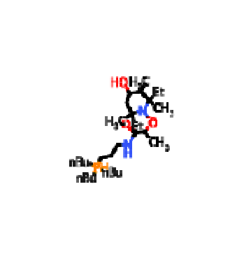 CCCC[PH](CCCC)(CCCC)CCCNC(=O)C(C)ON1C(C)(CC)CC(O)C(C)C1(C)CC